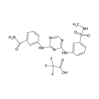 CNS(=O)(=O)c1cccc(Nc2ncnc(Nc3cccc(C(N)=O)c3)n2)c1.O=C(O)C(F)(F)F